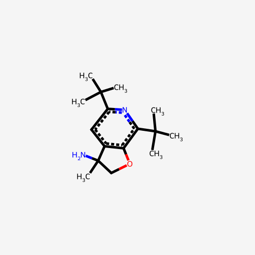 CC(C)(C)c1cc2c(c(C(C)(C)C)n1)OCC2(C)N